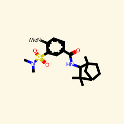 CNc1ccc(C(=O)NC2C3(C)CCC(C3)C2(C)C)cc1S(=O)(=O)N(C)C